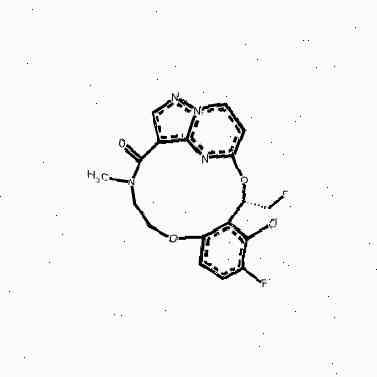 CN1CCOc2ccc(F)c(Cl)c2[C@@H](CF)Oc2ccn3ncc(c3n2)C1=O